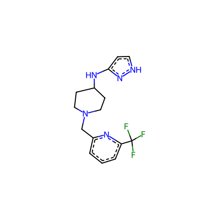 FC(F)(F)c1cccc(CN2CCC(Nc3cc[nH]n3)CC2)n1